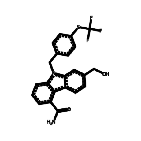 NC(=O)c1cccc2c1c1[c]cc(CO)cc1n2Cc1ccc(SC(F)(F)F)cc1